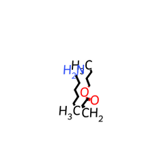 C=CC(=O)OCCCC.CCCCCCN